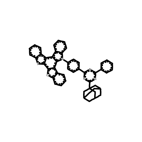 c1ccc(-c2nc(-c3ccc(-n4c5ccccc5c5c6c7ccccc7sc6c6oc7ccccc7c6c54)cc3)nc(C34CC5CC(CC(C5)C3)C4)n2)cc1